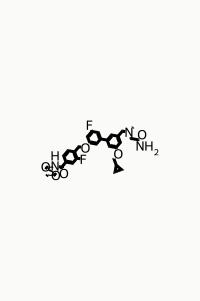 CN(CC(N)=O)Cc1cc(OCC2CC2)cc(-c2cc(F)cc(OCc3ccc(C(=O)NS(C)(=O)=O)cc3F)c2)c1